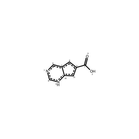 O=C(O)c1cc2cnc[nH]c-2c1